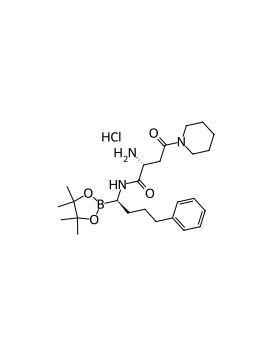 CC1(C)OB([C@H](CCCc2ccccc2)NC(=O)[C@H](N)CC(=O)N2CCCCC2)OC1(C)C.Cl